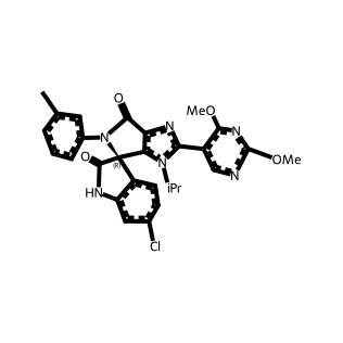 COc1ncc(-c2nc3c(n2C(C)C)[C@]2(C(=O)Nc4cc(Cl)ccc42)N(c2cccc(C)c2)C3=O)c(OC)n1